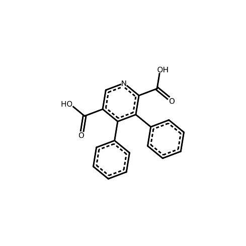 O=C(O)c1cnc(C(=O)O)c(-c2ccccc2)c1-c1ccccc1